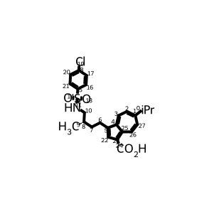 CC(C)c1ccc2c(CC[C@H](C)CNS(=O)(=O)c3ccc(Cl)cc3)cc(C(=O)O)c-2cc1